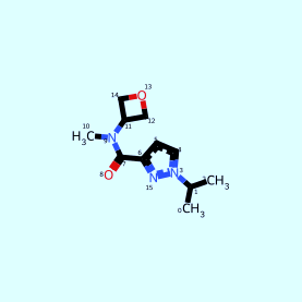 CC(C)n1ccc(C(=O)N(C)C2COC2)n1